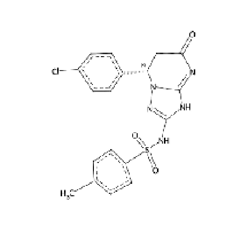 Cc1ccc(S(=O)(=O)NC2=NN3C(=NC(=O)C[C@H]3c3ccc(Cl)cc3)N2)cc1